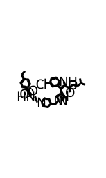 CCc1ccc(S(=O)(=O)NCCN2CCC(Cn3cc(-c4c(C(=O)OCC(C)C)[nH]c5ccc(Cl)cc45)nn3)CC2)cc1